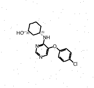 O[C@@H]1CCC[C@H](Nc2ncncc2Oc2ccc(Cl)cc2)C1